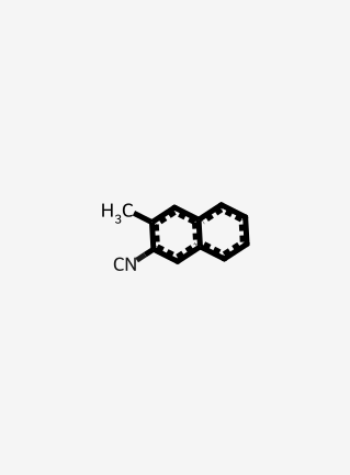 [C-]#[N+]c1cc2ccccc2cc1C